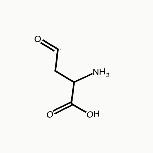 NC(C[C]=O)C(=O)O